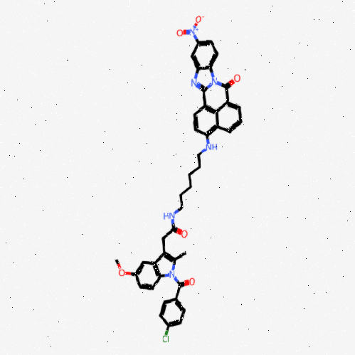 COc1ccc2c(c1)c(CC(=O)NCCCCCCNc1ccc3c4c1cccc4c(=O)n1c4ccc([N+](=O)[O-])cc4nc31)c(C)n2C(=O)c1ccc(Cl)cc1